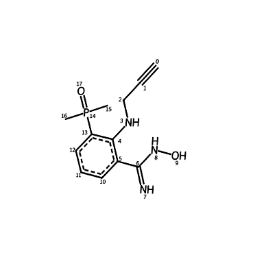 C#CCNc1c(C(=N)NO)cccc1P(C)(C)=O